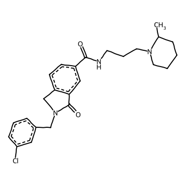 CC1CCCCN1CCCNC(=O)c1ccc2c(c1)C(=O)N(Cc1cccc(Cl)c1)C2